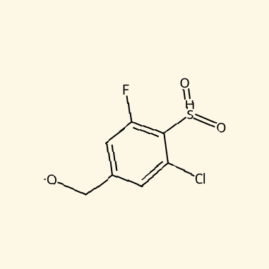 [O]Cc1cc(F)c([SH](=O)=O)c(Cl)c1